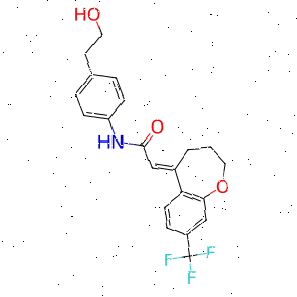 O=C(/C=C1\CCCOc2cc(C(F)(F)F)ccc21)Nc1ccc(CCO)cc1